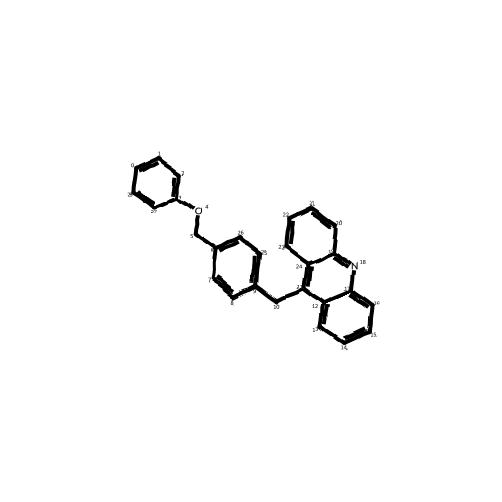 c1ccc(OCc2ccc(Cc3c4ccccc4nc4ccccc34)cc2)cc1